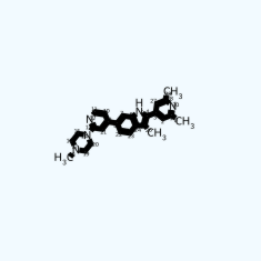 Cc1cc(-c2[nH]c3cc(-c4ccnc(N5CCN(C)CC5)c4)ccc3c2C)cc(C)n1